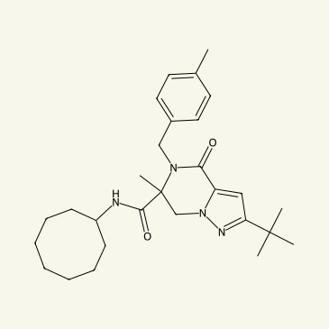 Cc1ccc(CN2C(=O)c3cc(C(C)(C)C)nn3CC2(C)C(=O)NC2CCCCCCC2)cc1